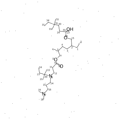 CCC(CCC(C)COC(=O)CCN(CCCN(C)C)C(C)(C)CC)CO[C@H](O)CCC(C)(C)CC